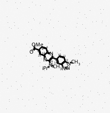 COC(=O)c1ccc2nc(-c3ccc4c(c3)nnn4C)c(N(C)C(C)C)nc2c1